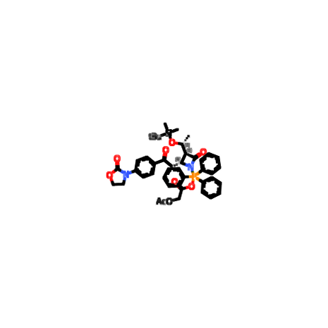 CC(=O)OCC(=O)OP(c1ccccc1)(c1ccccc1)(c1ccccc1)N1C(=O)[C@H]([C@@H](C)O[Si](C)(C)C(C)(C)C)[C@H]1CC(=O)c1ccc(N2CCOC2=O)cc1